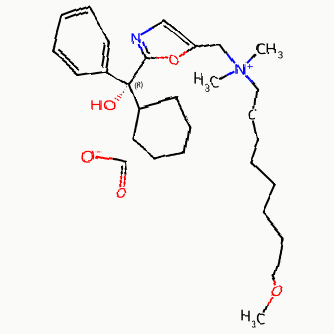 COCCCCCCCC[N+](C)(C)Cc1cnc([C@](O)(c2ccccc2)C2CCCCC2)o1.O=C[O-]